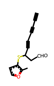 C#CC#CC#CC(CC=O)Sc1ccoc1C